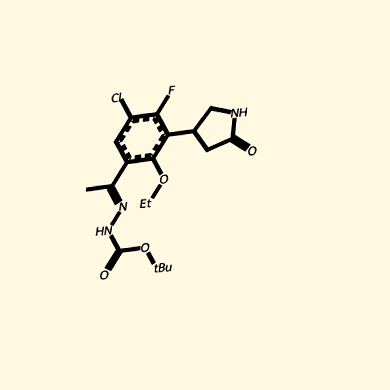 CCOc1c(C(C)=NNC(=O)OC(C)(C)C)cc(Cl)c(F)c1C1CNC(=O)C1